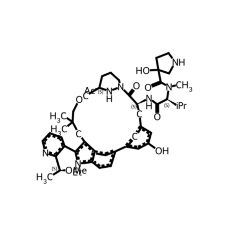 CCn1c(-c2cccnc2[C@H](C)OC)c2c3cc(ccc31)-c1cc(O)cc(c1)C[C@H](NC(=O)[C@H](C(C)C)N(C)C(=O)C1(O)CCNC1)C(=O)N1CCC[C@@](C(C)=O)(COCC(C)(C)C2)N1